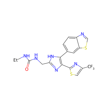 CCNC(=O)NCc1nc(-c2nc(C(F)(F)F)cs2)c(-c2ccc3ncsc3c2)[nH]1